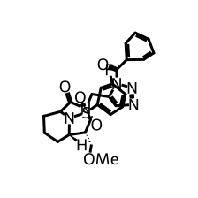 COC[C@H]1CN(Cc2cnnn2C(=O)c2ccccc2)C(=O)C2CCC[C@@H]1N2S(=O)(=O)c1cccc(F)c1